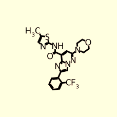 Cc1cnc(NC(=O)c2cc(N3CCOCC3)nn3cc(-c4ccccc4C(F)(F)F)nc23)s1